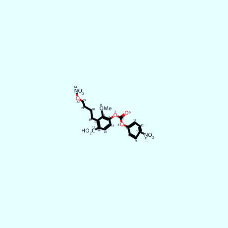 COc1c(OC(=O)Oc2ccc([N+](=O)[O-])cc2)ccc(C(=O)O)c1CCCCO[N+](=O)[O-]